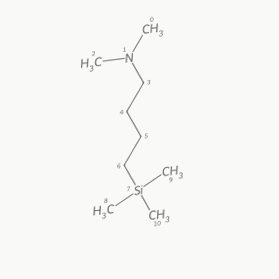 CN(C)CCCC[Si](C)(C)C